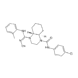 Cc1ccccc1N/C(=N/C#N)N1CCN(C(=O)Nc2ccc(Cl)cc2)[C@@H]2CCCC[C@H]21